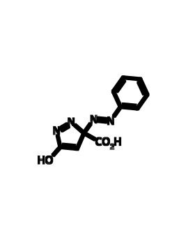 O=C(O)C1(N=Nc2ccccc2)C=C(O)N=N1